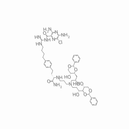 N=C(NCCCCc1ccc(CC[C@H](NCCCN(CC[C@@H](O)[C@@H]2OC(c3ccccc3)OC[C@H]2O)C[C@H](O)C[C@@H]2OC(c3ccccc3)OC[C@H]2O)C(N)=O)cc1)NC(=O)c1nc(Cl)c(N)nc1N